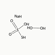 O=S(=O)(O)S.OO.[NaH]